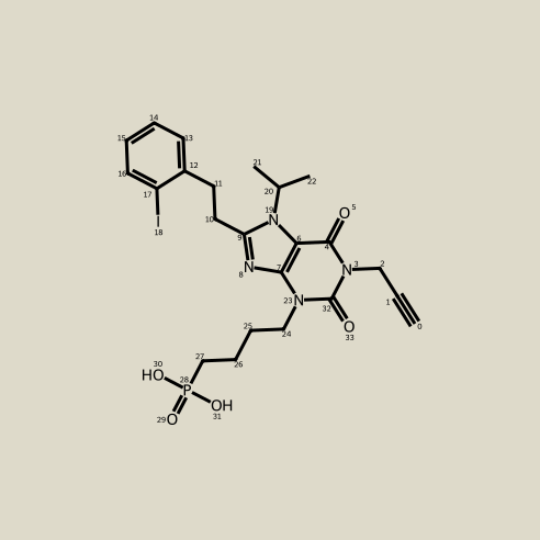 C#CCn1c(=O)c2c(nc(CCc3ccccc3I)n2C(C)C)n(CCCCP(=O)(O)O)c1=O